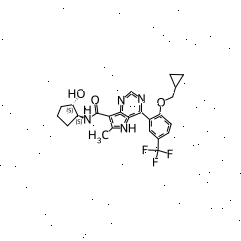 Cc1[nH]c2c(-c3cc(C(F)(F)F)ccc3OCC3CC3)ncnc2c1C(=O)N[C@H]1CCC[C@@H]1O